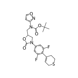 CC(C)(C)OC(=O)N(CC1CN(c2cc(F)c(C3=CCSCC3)c(F)c2)C(=O)O1)c1ccon1